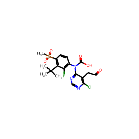 CC(C)(C)c1c(S(C)(=O)=O)ccc(N(C(=O)O)c2ncnc(Cl)c2CC=O)c1F